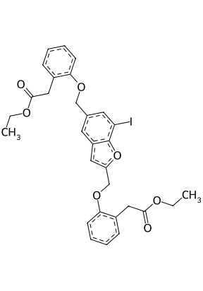 CCOC(=O)Cc1ccccc1OCc1cc(I)c2oc(COc3ccccc3CC(=O)OCC)cc2c1